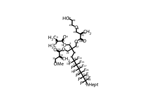 C=C(C)C(=O)OCC(CCC(F)(F)C(F)(F)C(F)(F)C(F)(F)C(F)(F)C(F)(F)CCCCCCC)(COC(=O)C(=C)COC)COC(=O)C(=C)COCCO